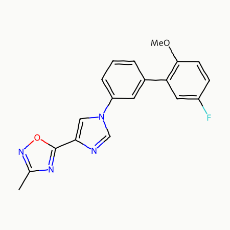 COc1ccc(F)cc1-c1cccc(-n2cnc(-c3nc(C)no3)c2)c1